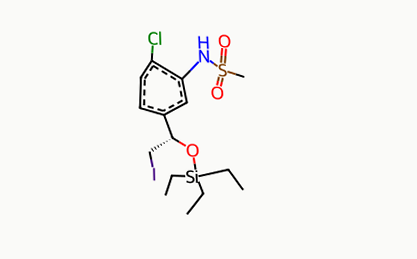 CC[Si](CC)(CC)O[C@H](CI)c1ccc(Cl)c(NS(C)(=O)=O)c1